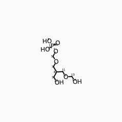 O=P(O)(O)OCOCC(CO)COCO